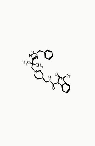 CC(C)n1c(=O)n(C(=O)NCC2CCN(CC(C)(C)c3nnn(Cc4ccccc4)n3)CC2)c2ccccc21